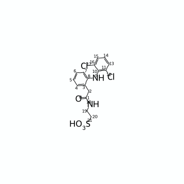 O=C(Cc1ccccc1Nc1c(Cl)cccc1Cl)NCCS(=O)(=O)O